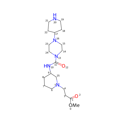 COC(=O)CCN1CCCC(NC(=O)N2CCN(C3CCNCC3)CC2)C1